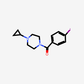 O=C(c1ccc(I)cc1)N1CCN(C2CC2)CC1